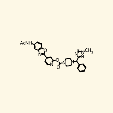 CC(=O)Nc1ccc2oc(-c3ccnc(OC(=O)N4CCN(C(c5ccccc5)c5nnn(C)n5)CC4)c3)nc2c1